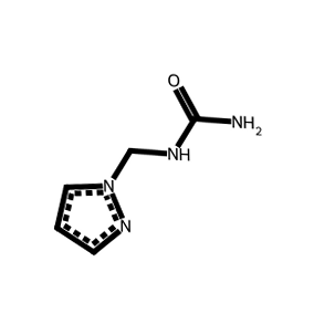 NC(=O)NCn1cccn1